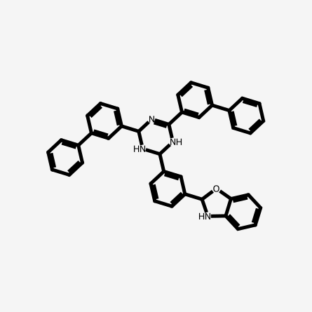 c1ccc(-c2cccc(C3=NC(c4cccc(-c5ccccc5)c4)NC(c4cccc(C5Nc6ccccc6O5)c4)N3)c2)cc1